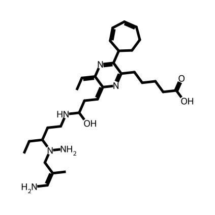 C/C=c1/nc(C2C=CC=CCC2)c(CCCCC(=O)O)n/c1=C/CC(O)NCCC(CC)N(N)C/C(C)=C\N